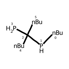 CCCCPC(P)(CCCC)CCCC